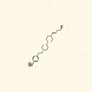 FCCC=C[C@H]1CC[C@H]([C@H]2CC[C@H](CCc3ccc(Br)cc3)CC2)CC1